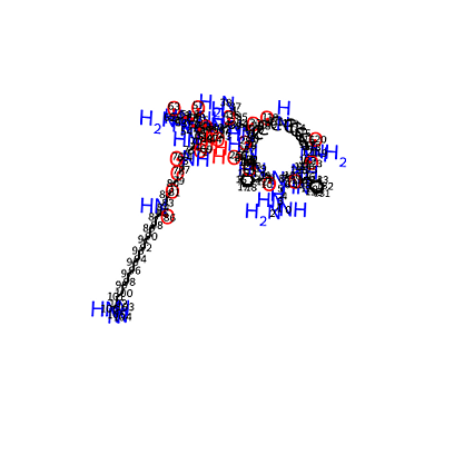 N=C(N)NCCC[C@@H]1NC(=O)[C@@H](Cc2ccccc2)NC(=O)[C@@H]2C[C@@H](O)CN2C(=O)[C@@H](NC(=O)[C@H](CCCN)NC(=O)[C@H](CO)NC(=O)[C@H](Cc2c[nH]cn2)NC(=O)[C@H](CCC(N)=O)NC(=O)[C@H](CO)NC(=O)CNC(=O)COCCOCCNC(=O)CCCCCCCCCCCCCCCc2nnn[nH]2)CCC(=O)CNCCCC[C@@H](C(N)=O)NC(=O)[C@H](Cc2c[nH]c3ccccc23)NC1=O